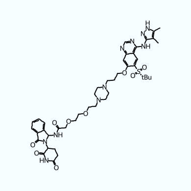 Cc1[nH]nc(Nc2ncnc3cc(OCCCN4CCN(CCOCCOCC(=O)NC5c6ccccc6C(=O)N5C5CCC(=O)NC5=O)CC4)c(S(=O)(=O)C(C)(C)C)cc23)c1C